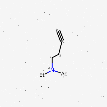 C#CCCN(CC)C(C)=O